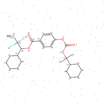 CC(C)(OC(=O)Oc1ccc(C(=O)OC(C2CCCCC2)C(F)(F)C(=O)O)cc1)C1CCCCC1